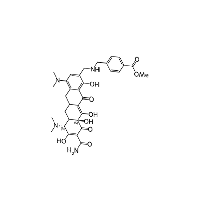 COC(=O)c1ccc(CNCc2cc(N(C)C)c3c(c2O)C(=O)C2=C(O)[C@]4(O)C(=O)C(C(N)=O)=C(O)[C@H](N(C)C)C4CC2C3)cc1